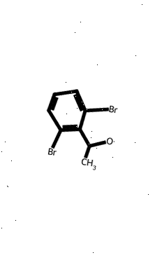 CC([O])c1c(Br)cccc1Br